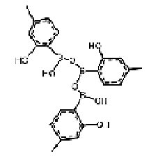 Cc1ccc(B(O)OB(OB(O)c2ccc(C)cc2O)c2ccc(C)cc2O)c(O)c1